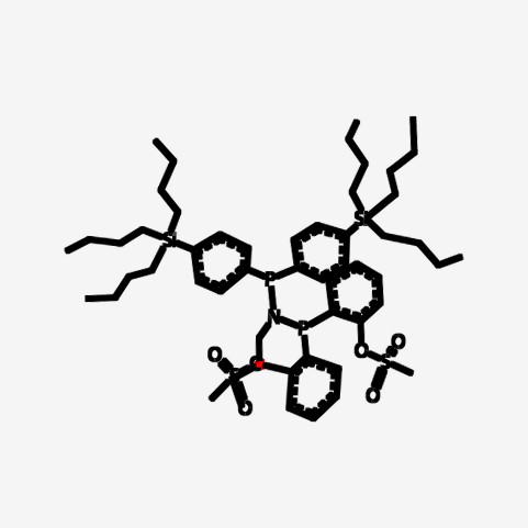 CCCCN(P(c1ccc([Si](CCCC)(CCCC)CCCC)cc1)c1ccc([Si](CCCC)(CCCC)CCCC)cc1)P(c1ccccc1OS(C)(=O)=O)c1ccccc1OS(C)(=O)=O